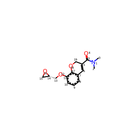 CN(C)C(=O)C1=Cc2cccc(OC[C@@H]3CO3)c2OC1